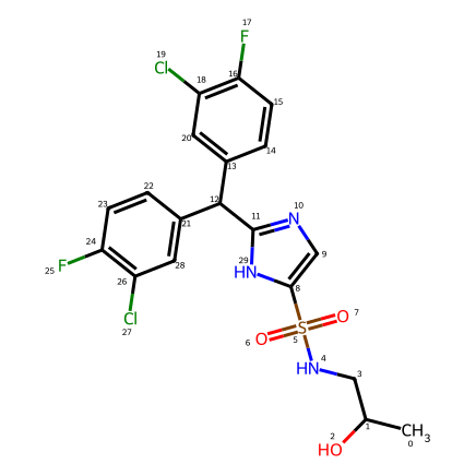 CC(O)CNS(=O)(=O)c1cnc(C(c2ccc(F)c(Cl)c2)c2ccc(F)c(Cl)c2)[nH]1